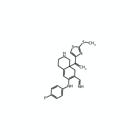 C=C(c1csc(SC)n1)C12CNCCC1=CC(Nc1ccc(F)cc1)=C(C=N)C2